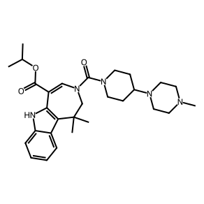 CC(C)OC(=O)C1=CN(C(=O)N2CCC(N3CCN(C)CC3)CC2)CC(C)(C)c2c1[nH]c1ccccc21